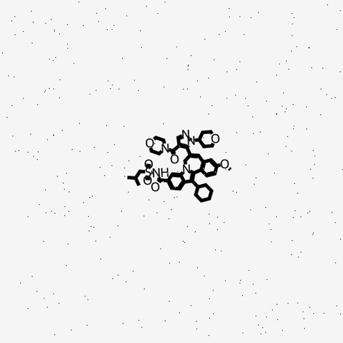 COc1ccc2c(c1)C=C(c1c(C(=O)N3CCOCC3)cnn1C1CCOCC1)Cn1c-2c(C2CCCCC2)c2ccc(C(=O)NS(=O)(=O)CC(C)C)cc21